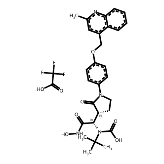 Cc1cc(COc2ccc(N3CC[C@H]([C@@H](C(=O)NO)N(C(=O)O)C(C)(C)C)C3=O)cc2)c2ccccc2n1.O=C(O)C(F)(F)F